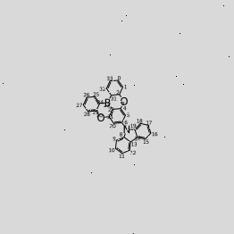 C1=CC2Oc3cc(-n4c5ccccc5c5ccccc54)cc4c3B(c3ccccc3O4)C2C=C1